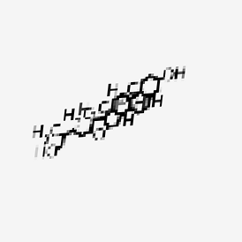 C[C@H](CO)CCC1OC2C[C@H]3[C@@H]4CC[C@@H]5C[C@@H](O)CC[C@]5(C)[C@H]4CC[C@]3(C)C2[C@@H]1C